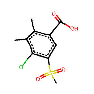 Cc1c(C(=O)O)cc(S(C)(=O)=O)c(Cl)c1C